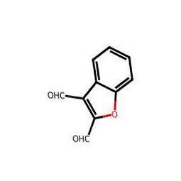 O=Cc1oc2ccccc2c1C=O